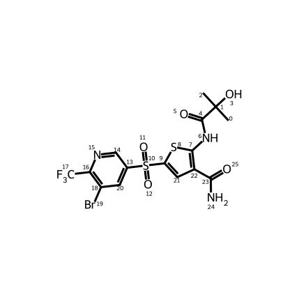 CC(C)(O)C(=O)Nc1sc(S(=O)(=O)c2cnc(C(F)(F)F)c(Br)c2)cc1C(N)=O